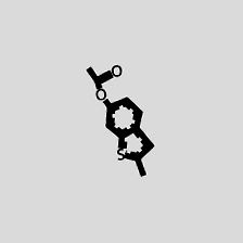 CC(=O)Oc1ccc2cc(C)sc2c1